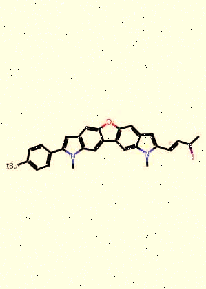 CC(I)/C=C/c1cc2cc3oc4cc5cc(-c6ccc(C(C)(C)C)cc6)n(C)c5cc4c3cc2n1C